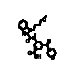 COCCCCn1c(C(=O)N(C)[C@H]2C[C@@H](C(=O)N3CCOCC3)CN(C(=O)O)C2)nc2ccccc21